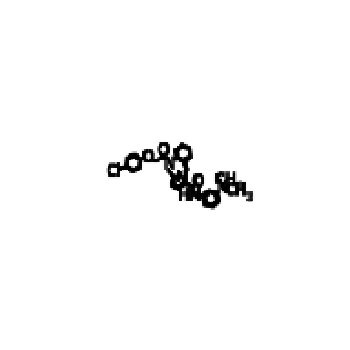 CN(C)c1cccc(NC(=O)c2ccc3n2Cc2ccccc2N(C(=O)COc2ccc(Cl)cc2)C3)c1